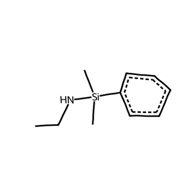 CCN[Si](C)(C)c1ccccc1